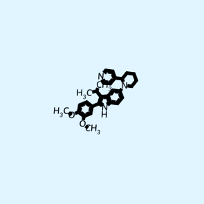 COc1ccc(-c2[nH]c3ccc(N4CCCCC4c4ccncc4)cc3c2C(C)C)cc1OC